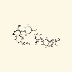 COc1ccc2ncc(F)c(N3CCCN(C[C@@H]4CN(c5ccc6c(c5)NC(=O)CO6)C(=O)O4)CC3)c2n1